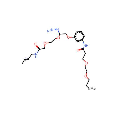 C/C=C/CNC(=O)COCCOC(COc1cccc(NC(=O)CCOCCOCCNC)c1)N=[N+]=[N-]